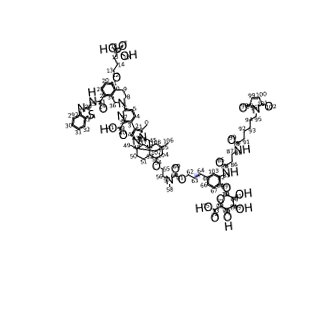 Cc1c(-c2ccc(N3CCc4c(OCCCP(=O)(O)O)ccc(C(=O)Nc5nc6ccccc6s5)c4C3)nc2C(=O)O)cnn1CC12CC3(C)CCC1C(OCCN(C)C(=O)OC/C=C/c1ccc(O[C@@H]4O[C@H](C(=O)O)[C@@H](O)[C@H](O)[C@H]4O)c(NC(=O)CCNC(=O)CCCCCN4C(=O)C=CC4=O)c1)CC(C)(C3)C2